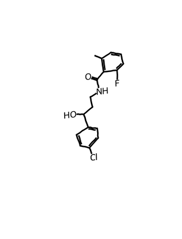 Cc1cccc(F)c1C(=O)NCCC(O)c1ccc(Cl)cc1